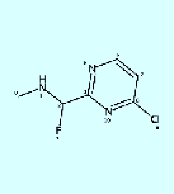 CNC(F)c1nccc(Cl)n1